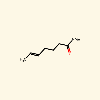 CC=CCCCC(=O)NC